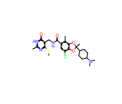 CSc1nc(C)[nH]c(=O)c1CNC(=O)c1cc(Cl)c2c(c1C)OC(C)(C1CCC(N(C)C)CC1)O2